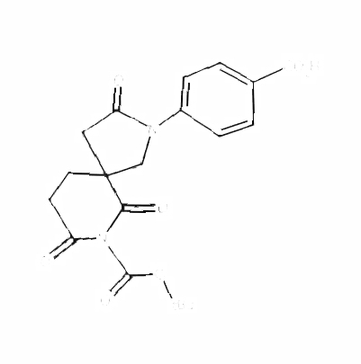 CC(C)(C)OC(=O)N1C(=O)CCC2(CC(=O)N(c3ccc(C(=O)O)cc3)C2)C1=O